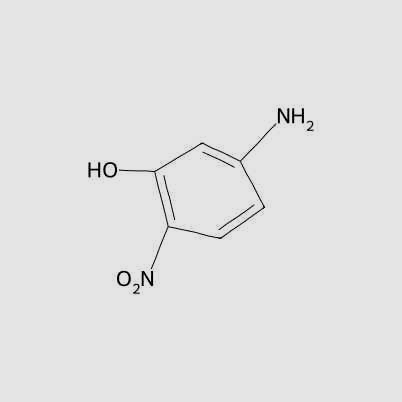 Nc1ccc([N+](=O)[O-])c(O)c1